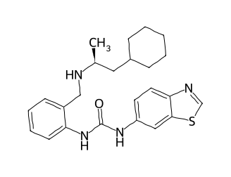 C[C@@H](CC1CCCCC1)NCc1ccccc1NC(=O)Nc1ccc2ncsc2c1